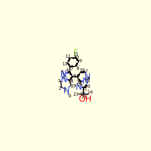 CN1CCn2nc(-c3ccc(F)cc3)c(-c3ccnn4cc(C(C)(C)O)nc34)c2C1